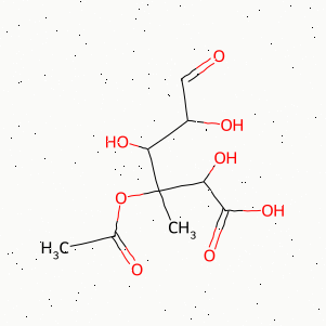 CC(=O)OC(C)(C(O)C(=O)O)C(O)C(O)C=O